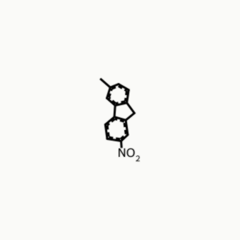 Cc1ccc2c(c1)-c1ccc([N+](=O)[O-])cc1C2